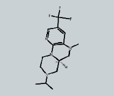 CC(C)N1CCN2c3ncc(C(F)(F)F)cc3N(C)C[C@H]2C1